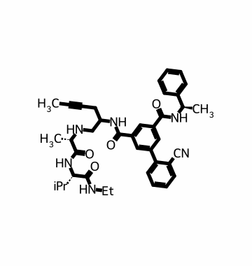 CC#CCC(CN[C@@H](C)C(=O)N[C@H](C(=O)NCC)C(C)C)NC(=O)c1cc(C(=O)N[C@H](C)c2ccccc2)cc(-c2ccccc2C#N)c1